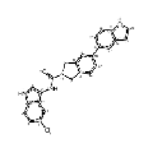 O=C(Nc1c[nH]c2ccc(Cl)cc12)N1Cc2ccc(-c3ccc4occc4c3)cc2C1